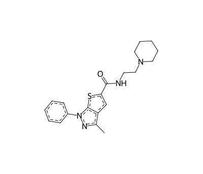 Cc1nn(-c2ccccc2)c2sc(C(=O)NCCN3CCCCC3)cc12